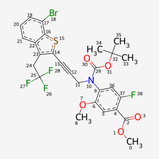 COC(=O)c1cc(OC)c(N(CC#Cc2sc3c(Br)cccc3c2CC(F)(F)F)C(=O)OC(C)(C)C)cc1F